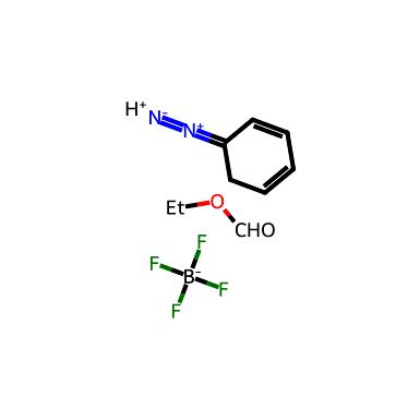 CCOC=O.F[B-](F)(F)F.[H+].[N-]=[N+]=C1C=CC=CC1